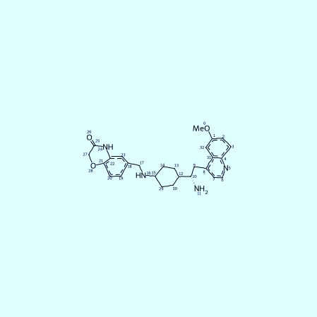 COc1ccc2nccc(C[C@H](N)C3CCC(NCc4ccc5c(c4)NC(=O)CO5)CC3)c2c1